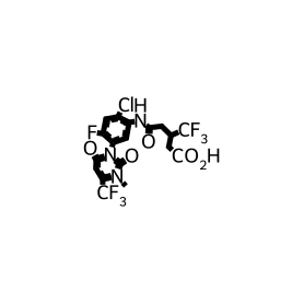 Cn1c(C(F)(F)F)cc(=O)n(-c2cc(NC(=O)CC(CC(=O)O)C(F)(F)F)c(Cl)cc2F)c1=O